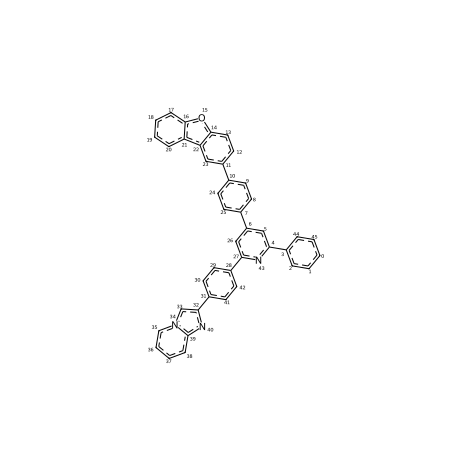 c1ccc(-c2cc(-c3ccc(-c4ccc5oc6ccccc6c5c4)cc3)cc(-c3ccc(-c4cn5ccccc5n4)cc3)n2)cc1